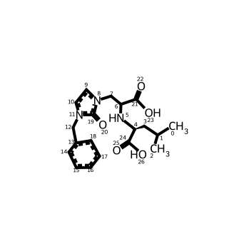 CC(C)C[C@H](NC(Cn1ccn(Cc2ccccc2)c1=O)C(=O)O)C(=O)O